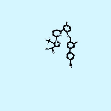 Cc1ccc(OCc2ccc(-c3ccc(C#N)cc3)cc2C)c(-c2cccc(-n3ncc(C(=O)O)c3C(F)(F)F)n2)c1